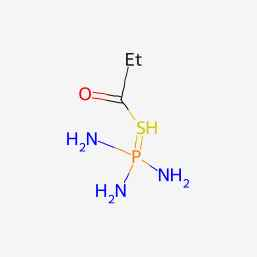 CCC(=O)[SH]=P(N)(N)N